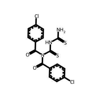 NC(=S)NC(=S)N(C(=O)c1ccc(Cl)cc1)C(=O)c1ccc(Cl)cc1